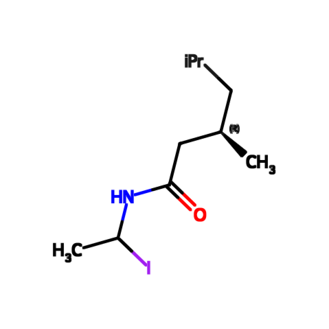 CC(C)C[C@@H](C)CC(=O)NC(C)I